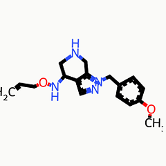 C=CCONC1CNCc2c1cnn2Cc1ccc(OC)cc1